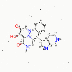 CN1CC(C(c2ccccc2)C2C=Nc3cnccc32)n2ncc(=O)c(O)c2C1=O